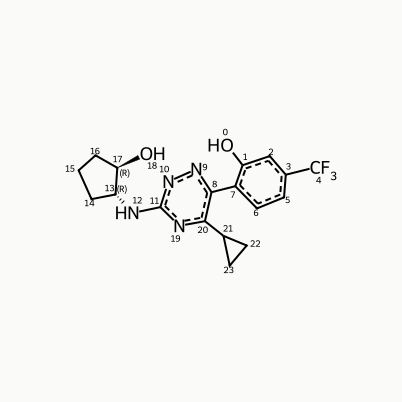 Oc1cc(C(F)(F)F)ccc1-c1nnc(N[C@@H]2CCC[C@H]2O)nc1C1CC1